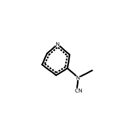 CN(C#N)c1cccnc1